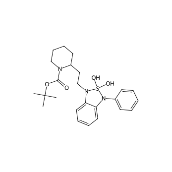 CC(C)(C)OC(=O)N1CCCCC1CCN1c2ccccc2N(c2ccccc2)S1(O)O